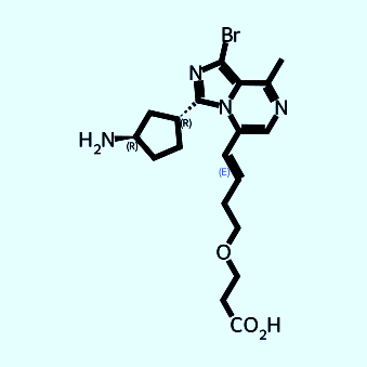 Cc1ncc(/C=C/CCOCCC(=O)O)n2c([C@@H]3CC[C@@H](N)C3)nc(Br)c12